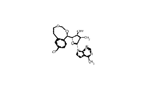 Cc1ncnc2c1ccn2[C@@H]1O[C@H]([C@@H]2OCOCCc3cc(Cl)ccc32)[C@@H](O)[C@H]1C